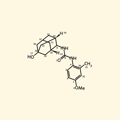 COc1ccc(NC(=O)NC2[C@H]3CC4C[C@H]2CC(O)(C4)C3)c(C)c1